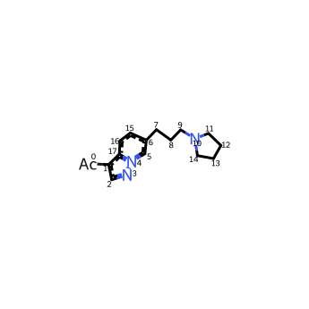 CC(=O)c1cnn2cc(CCCN3CCCC3)ccc12